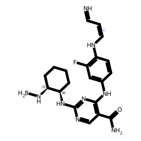 BN[C@H]1CCCC[C@H]1Nc1ncc(C(N)=O)c(Nc2ccc(N/C=C\C=N)c(F)c2)n1